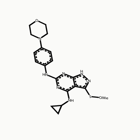 COSc1n[nH]c2nc(Nc3ccc(N4CCOCC4)cc3)nc(NC3CC3)c12